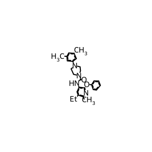 CCc1cc(NC(=O)N2CCN(c3cc(C)cc(C)c3)CC2)c(Oc2ccccc2)nc1C